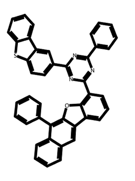 c1ccc(-c2nc(-c3ccc4sc5ccccc5c4c3)nc(-c3cccc4c3oc3c(-c5ccccc5)c5ccccc5cc34)n2)cc1